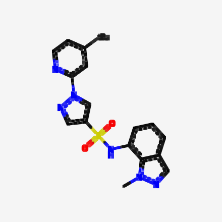 Cn1ncc2cccc(NS(=O)(=O)c3cnn(-c4cc(C(C)(C)C)ccn4)c3)c21